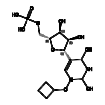 O=P(O)(O)OC[C@H]1O[C@@H](C2=CN(OC3CCC3)C(O)NC2O)[C@H](O)[C@@H]1O